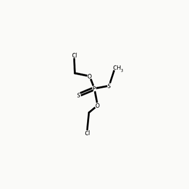 CSP(=S)(OCCl)OCCl